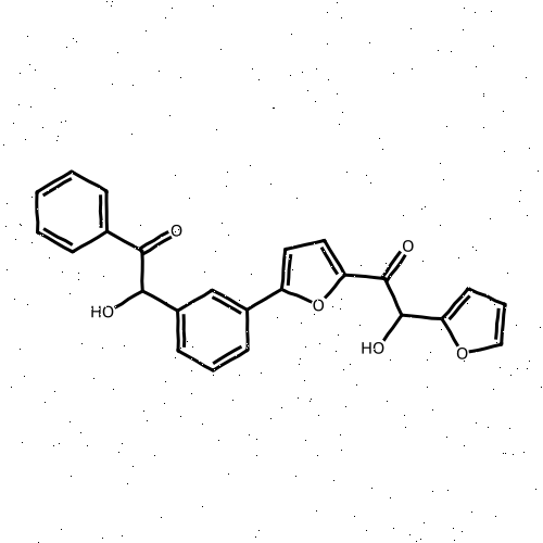 O=C(c1ccccc1)C(O)c1cccc(-c2ccc(C(=O)C(O)c3ccco3)o2)c1